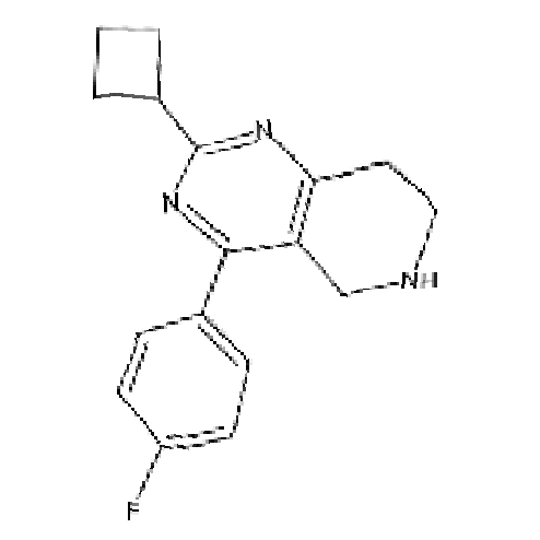 Fc1ccc(-c2nc(C3CCC3)nc3c2CNCC3)cc1